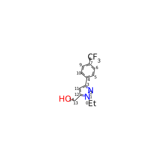 CCn1nc(-c2ccc(C(F)(F)F)cc2)cc1CO